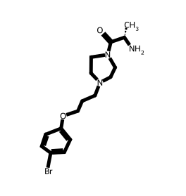 C[C@H](N)C(=O)N1CCN(CCCOc2ccc(Br)cc2)CC1